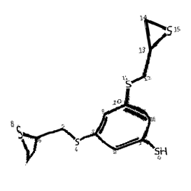 Sc1cc(SCC2CS2)cc(SCC2CS2)c1